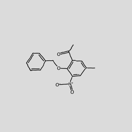 CC(=O)c1cc(C)cc([N+](=O)[O-])c1OCc1ccccc1